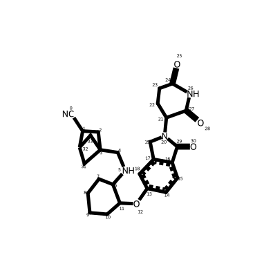 N#CC1CC2(CNC3CCCCC3Oc3ccc4c(c3)CN(C3CCC(=O)NC3=O)C4=O)CC1C2